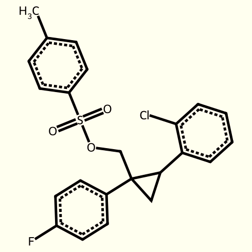 Cc1ccc(S(=O)(=O)OCC2(c3ccc(F)cc3)CC2c2ccccc2Cl)cc1